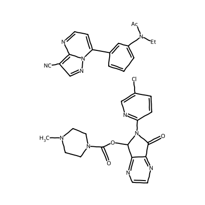 CCN(C(C)=O)c1cccc(-c2ccnc3c(C#N)cnn23)c1.CN1CCN(C(=O)OC2c3nccnc3C(=O)N2c2ccc(Cl)cn2)CC1